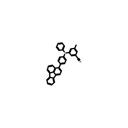 Cc1cc(C#N)cc(N(c2ccccc2)c2ccc(-c3ccc4c5c(cccc35)-c3ccccc3-4)cc2)c1